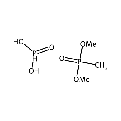 COP(C)(=O)OC.O=[PH](O)O